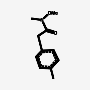 CON(C)C(=O)Cc1ccc(C)cc1